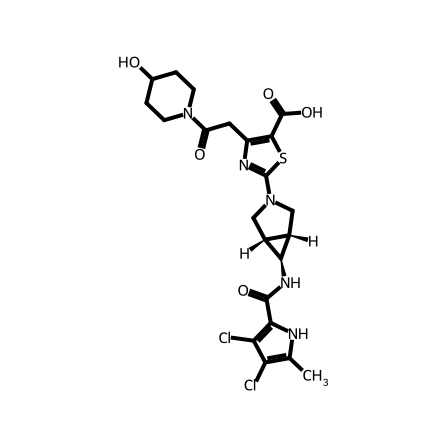 Cc1[nH]c(C(=O)N[C@H]2[C@@H]3CN(c4nc(CC(=O)N5CCC(O)CC5)c(C(=O)O)s4)C[C@@H]32)c(Cl)c1Cl